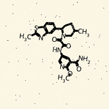 COc1ncc(NC(=O)C(=O)N2CC(C)CCC2c2ccc3sc(C)nc3c2)cc1C(N)=O